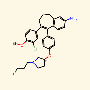 CCOc1ccc(C2=C(c3ccc(O[C@H]4CCN(CCCF)C4)cc3)c3ccc(N)cc3CCC2)cc1Cl